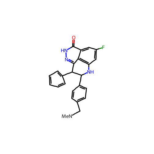 CNCc1ccc(C2Nc3cc(F)cc4c(=O)[nH]nc(c34)C2c2ccccc2)cc1